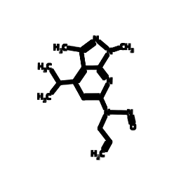 C=CCN(N=O)c1cc(C(C)C)c2c(C)nn(C)c2n1